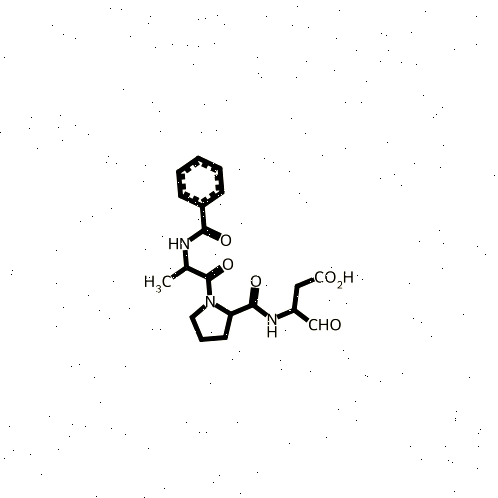 CC(NC(=O)c1ccccc1)C(=O)N1CCCC1C(=O)NC(C=O)CC(=O)O